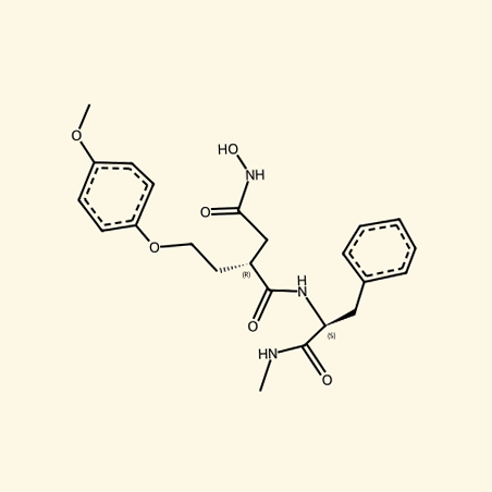 CNC(=O)[C@H](Cc1ccccc1)NC(=O)[C@H](CCOc1ccc(OC)cc1)CC(=O)NO